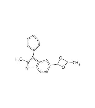 Cc1nc2ccc(C3OC(C)O3)cc2n1-c1ccccc1